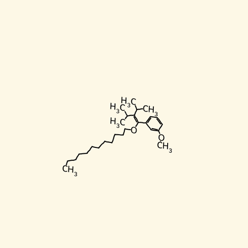 CCCCCCCCCCCCOC(=C(C(C)C)C(C)C)c1cccc(OC)c1